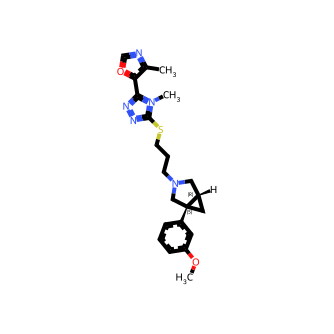 COc1cccc([C@]23C[C@H]2CN(CCCSc2nnc(-c4ocnc4C)n2C)C3)c1